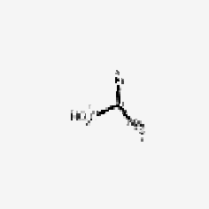 CCCCC(CC)C(=O)O.[S]